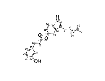 C=C(C)NCCc1c[nH]c2ccc(OC(=O)/C=C/c3cccc(O)c3)cc12